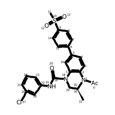 CC(=O)N1c2ccc(-c3ccc(S(C)(=O)=O)cc3)cc2N(C(=O)Nc2cccc(Cl)c2)C[C@@H]1C